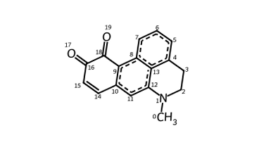 CN1CCc2cccc3c4c(cc1c23)C=CC(=O)C4=O